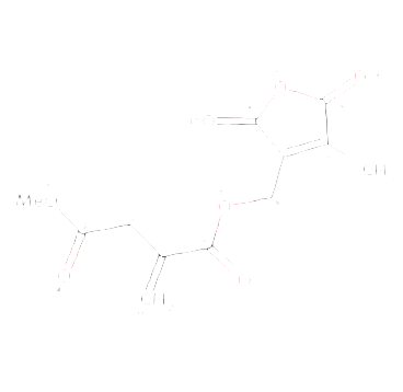 C=C(CC(=O)OC)C(=O)OCC1=C(C)C(=O)OC1=O